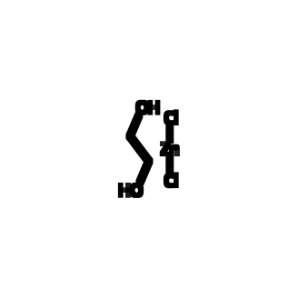 OCCO.[Cl][Zn][Cl]